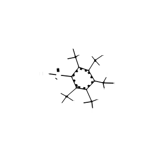 O=S(=O)(O)c1c(C(F)(F)F)c(C(F)(F)F)c(C(F)(F)F)c(C(F)(F)F)c1C(F)(F)F